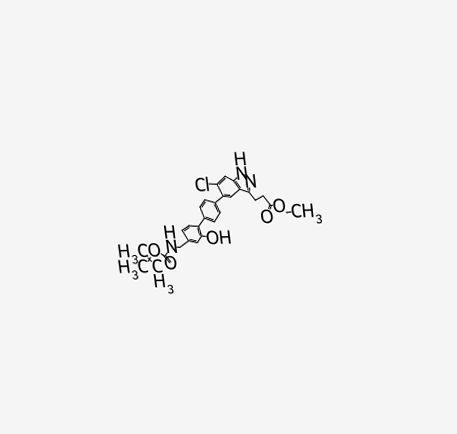 CCOC(=O)CCc1n[nH]c2cc(Cl)c(-c3ccc(-c4ccc(CNC(=O)OC(C)(C)C)cc4O)cc3)cc12